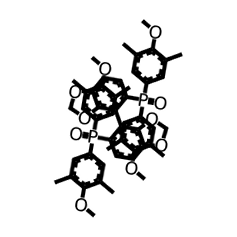 COc1c(C)cc(P(=O)(c2cc(C)c(OC)c(C)c2)c2ccc3c(c2-c2c(P(=O)(c4cc(C)c(OC)c(C)c4)c4cc(C)c(OC)c(C)c4)ccc4c2OCO4)OCO3)cc1C